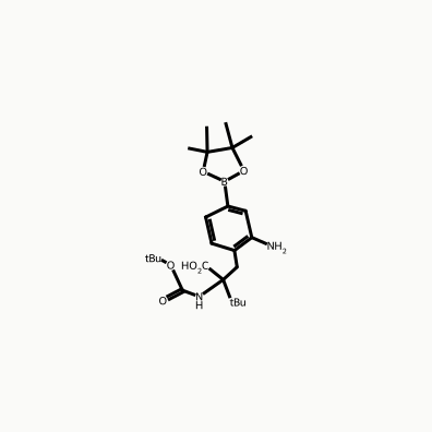 CC(C)(C)OC(=O)NC(Cc1ccc(B2OC(C)(C)C(C)(C)O2)cc1N)(C(=O)O)C(C)(C)C